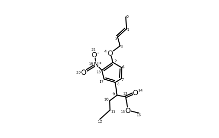 CC=CCOc1ccc(C(CCC)C(=O)OC)cc1[N+](=O)[O-]